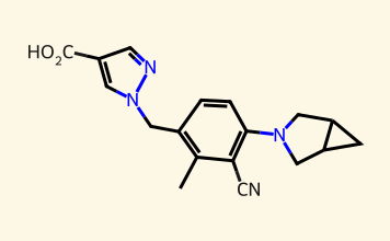 Cc1c(Cn2cc(C(=O)O)cn2)ccc(N2CC3CC3C2)c1C#N